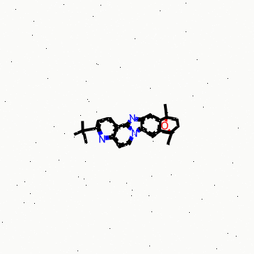 CC(C)(C)c1ccc2c(ccn3c4cc5c(cc4nc23)C2(C)CCC5(C)O2)n1